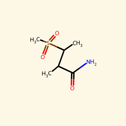 CC(C(N)=O)C(C)S(C)(=O)=O